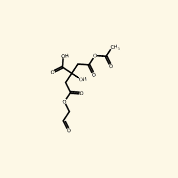 CC(=O)OC(=O)CC(O)(CC(=O)OCC=O)C(=O)O